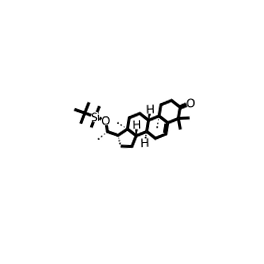 C[C@H](O[Si](C)(C)C(C)(C)C)[C@H]1CC[C@H]2[C@@H]3CC=C4C(C)(C)C(=O)CC[C@]4(C)[C@H]3CC[C@]12C